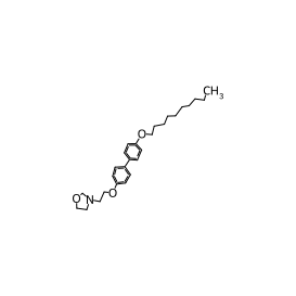 CCCCCCCCCCOc1ccc(-c2ccc(OCCN3CCOC3)cc2)cc1